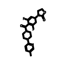 Cc1ccc(N2CCN(C(=O)C3=C(F)CC(N4CCOC4=O)C=C3F)CC2)nc1